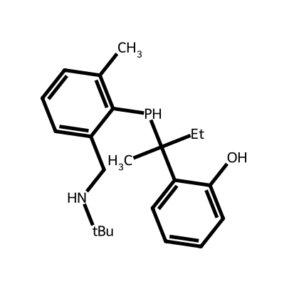 CCC(C)(Pc1c(C)cccc1CNC(C)(C)C)c1ccccc1O